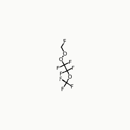 FCOOC(F)(F)C(F)(F)OC(F)(F)F